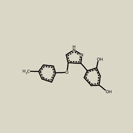 Cc1ccc(Oc2c[nH]nc2-c2ccc(O)cc2O)cc1